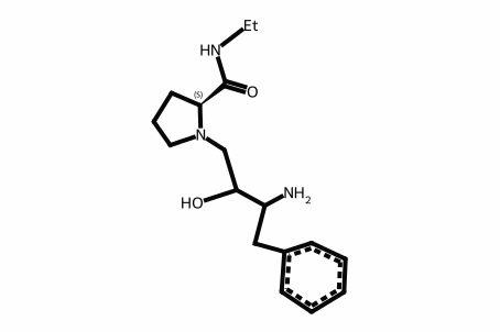 CCNC(=O)[C@@H]1CCCN1CC(O)C(N)Cc1ccccc1